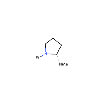 [CH2]N[C@H]1CCCN1CC